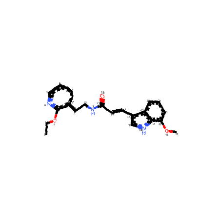 CCOc1ncccc1CCNC(=O)/C=C/c1c[nH]c2c(OC)cccc12